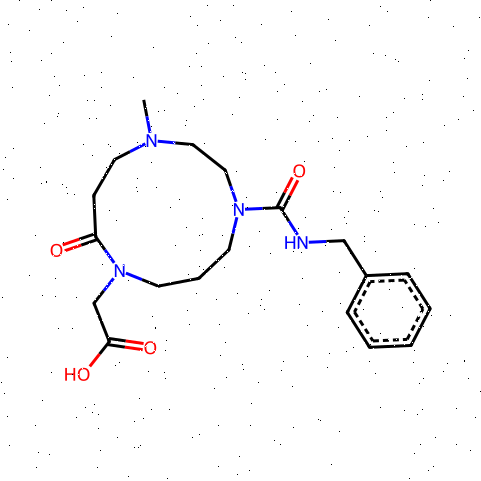 CN1CCC(=O)N(CC(=O)O)CCCN(C(=O)NCc2ccccc2)CC1